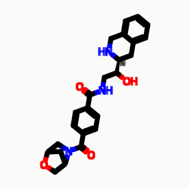 O=C(NCC(O)[C@@H]1Cc2ccccc2CN1)c1ccc(C(=O)N2CC3CC2CO3)cc1